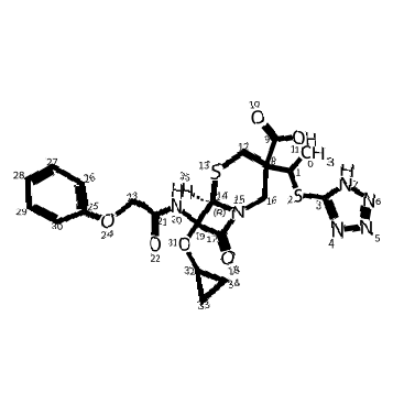 CC(Sc1nnn[nH]1)C1(C(=O)O)CS[C@H]2N(C1)C(=O)C2(NC(=O)COc1ccccc1)OC1CC1